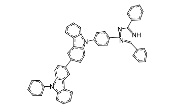 N=C(/N=C(\N=C\c1ccccc1)c1ccc(-n2c3ccccc3c3cc(-c4ccc5c(c4)c4ccccc4n5-c4ccccc4)ccc32)cc1)c1ccccc1